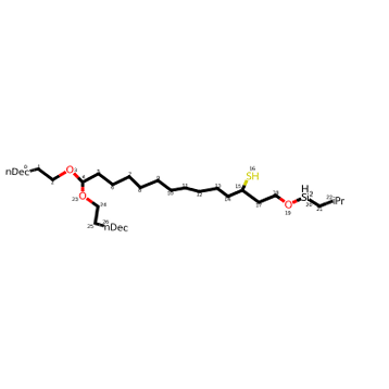 CCCCCCCCCCCCOC(CCCCCCCCCCC(S)CCO[SiH2]CC(C)C)OCCCCCCCCCCCC